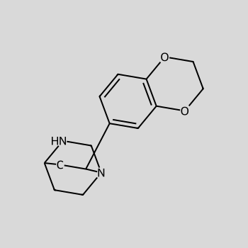 c1cc2c(cc1C1CC3CCN1CN3)OCCO2